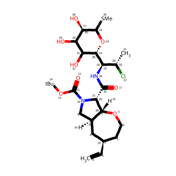 C=C[C@@H]1CCO[C@@H]2[C@@H](C1)CN(C(=O)OC(C)(C)C)[C@@H]2C(=O)N[C@H]([C@H](C)Cl)[C@H]1OC(SC)[C@H](O)C(O)C1O